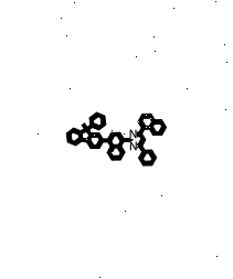 CC1(c2ccccc2)c2ccccc2-c2ccc(-c3ccc(-c4nc(-c5ccccc5)cc(-c5cccc6ccccc56)n4)c4ccccc34)cc21